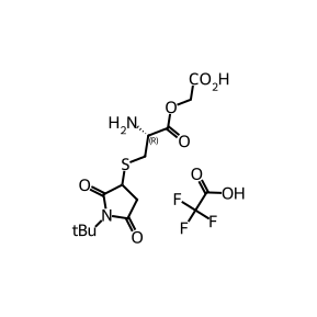 CC(C)(C)N1C(=O)CC(SC[C@H](N)C(=O)OCC(=O)O)C1=O.O=C(O)C(F)(F)F